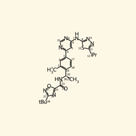 Cc1cc(-c2cc(Nc3nnc(C(C)C)s3)ncn2)ccc1[C@@H](C)NC(=O)c1nc(C(C)(C)C)no1